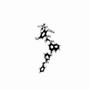 COc1c(NC(=O)Nc2ccc(Oc3ccnc(NCC4CCCC4)n3)c3ccccc23)cc(C(C)(C)C)cc1NS(C)(=O)=O